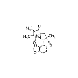 CN1C(=O)C23C[C@](C)(C#N)C(c4cccc5c4OCO5)N2C(=O)C1(C)SS3